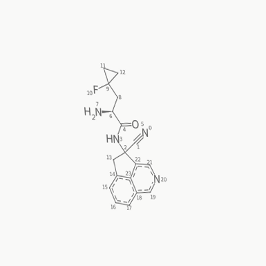 N#CC1(NC(=O)[C@@H](N)CC2(F)CC2)Cc2cccc3cncc1c23